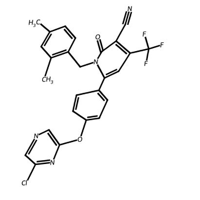 Cc1ccc(Cn2c(-c3ccc(Oc4cncc(Cl)n4)cc3)cc(C(F)(F)F)c(C#N)c2=O)c(C)c1